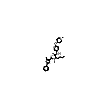 CCCCC(NC(=O)c1sc(-c2ccccc2)nc1C)C(=O)Nc1ccc(OC2CCN(C)CC2)nc1